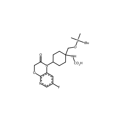 CC(C)(C)[Si](C)(C)OCC1(NC(=O)O)CCC(N2C(=O)COc3ncc(F)cc32)CC1